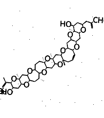 C=C(C=O)C[C@@H]1C[C@H](O)[C@]2(C)OC3CC4OC5C[C@]6(C)O[C@]7(C)CCC8OC9C[C@]%10(C)OC(/C(C)=C\C(C)(C)C)C(O)CC%10OC9C[C@@H](C)C8OC7CC6O[C@@]5(C)C/C=C\C4OC3CC2O1